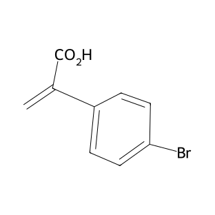 C=C(C(=O)O)c1ccc(Br)cc1